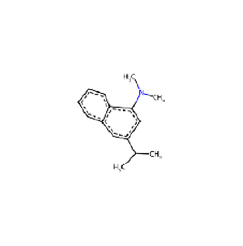 CC(C)c1cc(N(C)C)c2ccccc2c1